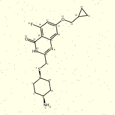 N[C@H]1CC[C@@H](SCc2nc3cc(OCC4CC4)cc(F)c3c(=O)[nH]2)CC1